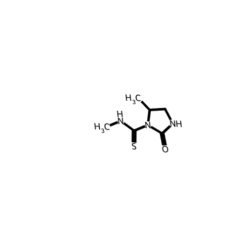 CNC(=S)N1C(=O)NCC1C